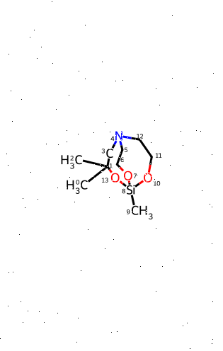 CC1(C)CN2CCO[Si](C)(OCC2)O1